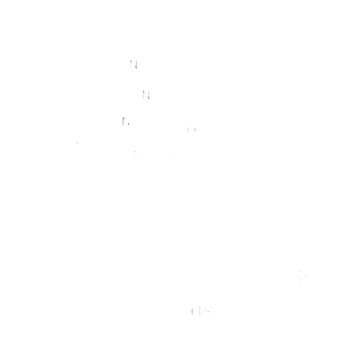 CCCCCCCCCCCC1OC1CCCCC(=O)On1nnc2ccccc2c1=O